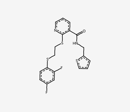 O=C(NCc1cccs1)c1cccnc1SCCSc1ccc(F)cc1F